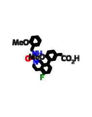 COc1ccccc1CNC(=O)N1CCc2c(F)ccc(-c3cc(CC(=O)O)ccc3OC)c2C1